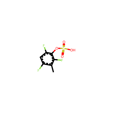 Cc1c(F)cc(F)c(OS(=O)(=O)O)c1F